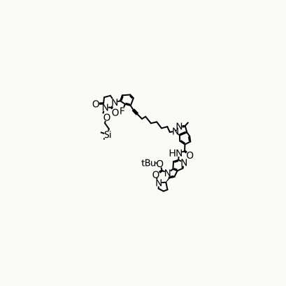 Cc1nn(CCCCCCCC#Cc2cccc(N3CCC(=O)N(COCC[Si](C)(C)C)C3=O)c2F)c2cc(C(=O)Nc3cc4c(cn3)cc([C@H]3CCCN3C)n4C(=O)OC(C)(C)C)ccc12